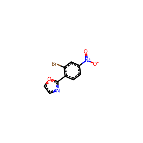 O=[N+]([O-])c1ccc(-c2ncco2)c(Br)c1